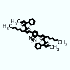 CCCCCCc1cc(-c2ccc(-c3cc(CCCCCC)c(-c4sc(C)cc4C4CC=CCC4)s3)c3nsnc23)sc1-c1sc(C)cc1C1CC=CCC1